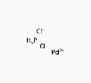 P.[Cl-].[Cl-].[Pd+2]